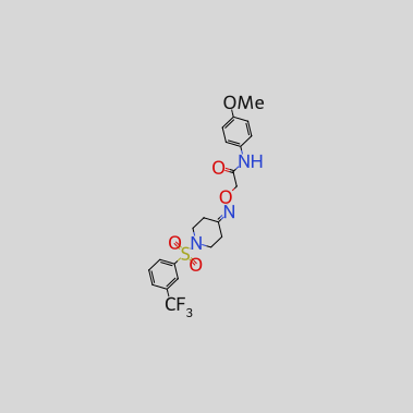 COc1ccc(NC(=O)CON=C2CCN(S(=O)(=O)c3cccc(C(F)(F)F)c3)CC2)cc1